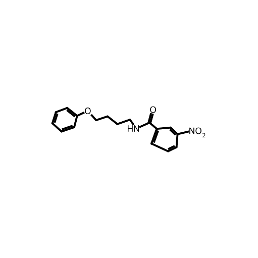 O=C(NCCCCOc1ccccc1)c1cccc([N+](=O)[O-])c1